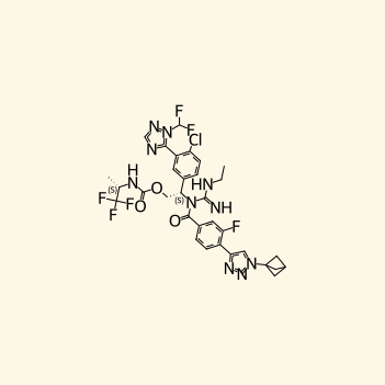 CCNC(=N)N(C(=O)c1ccc(-c2cn(C34CC(C3)C4)nn2)c(F)c1)[C@H](COC(=O)N[C@@H](C)C(F)(F)F)c1ccc(Cl)c(-c2ncnn2C(F)F)c1